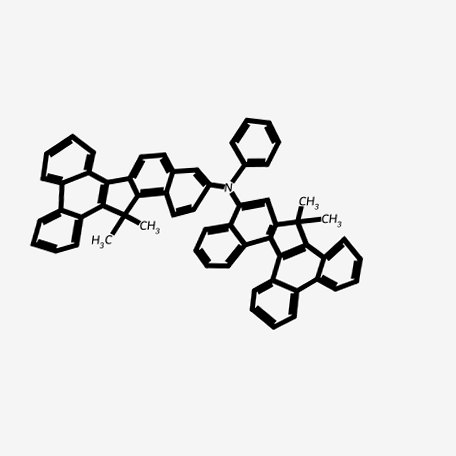 CC1(C)c2cc(N(c3ccccc3)c3ccc4c5c(ccc4c3)-c3c(c4ccccc4c4ccccc34)C5(C)C)c3ccccc3c2-c2c1c1ccccc1c1ccccc21